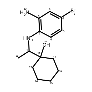 CC(Nc1ccc(Br)cc1N)C1(O)CCCCC1